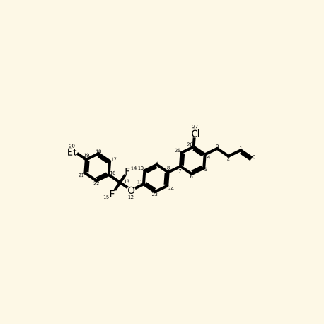 C=CCCc1ccc(-c2ccc(OC(F)(F)c3ccc(CC)cc3)cc2)cc1Cl